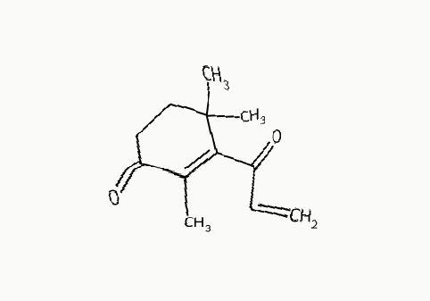 C=CC(=O)C1=C(C)C(=O)CCC1(C)C